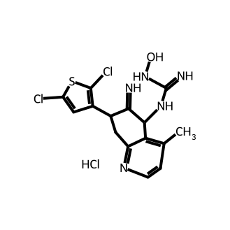 Cc1ccnc2c1C(NC(=N)NO)C(=N)C(c1cc(Cl)sc1Cl)C2.Cl